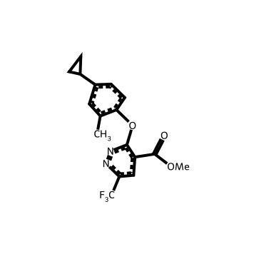 COC(=O)c1cc(C(F)(F)F)nnc1Oc1ccc(C2CC2)cc1C